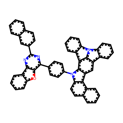 c1ccc2cc(-c3nc(-c4ccc(-n5c6ccc7ccccc7c6c6cc7c8ccccc8n8c9ccccc9c(c65)c78)cc4)c4oc5ccccc5c4n3)ccc2c1